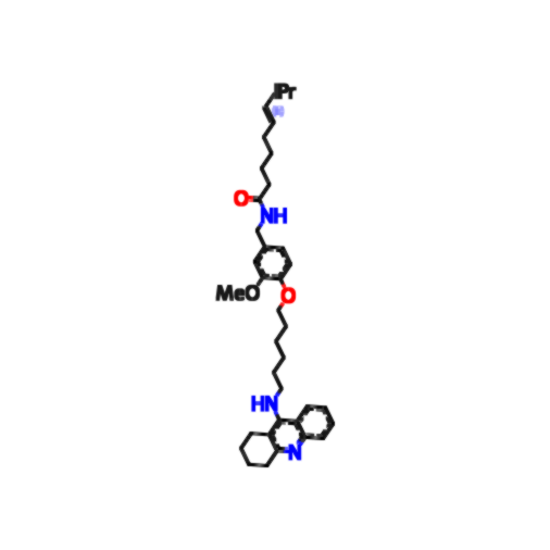 COc1cc(CNC(=O)CCCC/C=C/C(C)C)ccc1OCCCCCCNc1c2c(nc3ccccc13)CCCC2